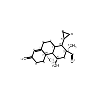 C[C@]1(C=O)C[C@@H](O)C2C(CCC3=CC(=O)CC[C@@]32C)C1C1CC1